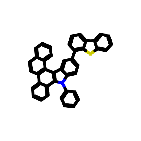 c1ccc(-n2c3ccc(-c4cccc5c4sc4ccccc45)cc3c3c4c5ccccc5ccc4c4ccccc4c32)cc1